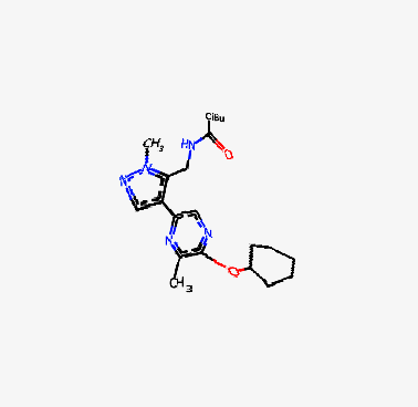 Cc1nc(-c2cnn(C)c2CNC(=O)OCC(C)C)cnc1OC1CCCCC1